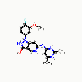 COc1cc(-n2[nH]c(=O)c3cnc(Nc4cc(C)nc(C)n4)cc32)ccc1F